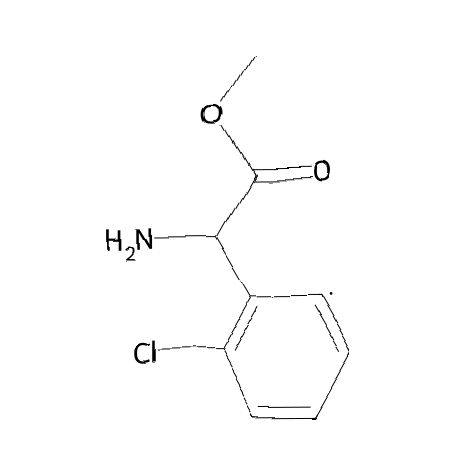 COC(=O)C(N)c1[c]cccc1Cl